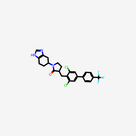 O=C1C(Cc2c(Cl)cc(-c3ccc(C(F)(F)F)cc3)cc2Cl)CCN1C1CCc2[nH]cnc2C1